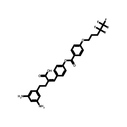 Nc1cc(N)cc(CCC(=Cc2ccc(OC(=O)c3ccc(OCCCC(F)(F)C(F)(F)F)cc3)cc2)C(=O)O)c1